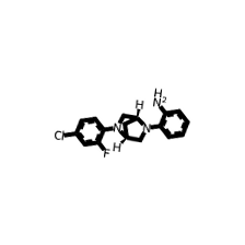 Nc1ccccc1N1C[C@H]2C[C@@H]1CN2c1ccc(Cl)cc1F